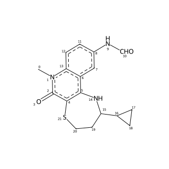 Cn1c(=O)c2c(c3cc(NC=O)ccc31)NC(C1CC1)CCS2